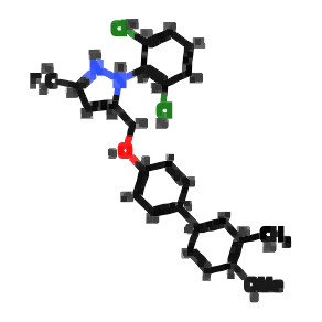 COc1ccc(-c2ccc(OCc3cc(C(F)(F)F)nn3-c3c(Cl)cccc3Cl)cc2)cc1C